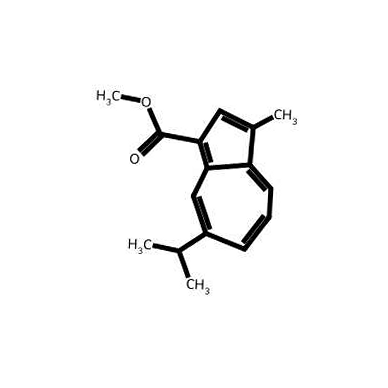 COC(=O)c1cc(C)c2cccc(C(C)C)cc1-2